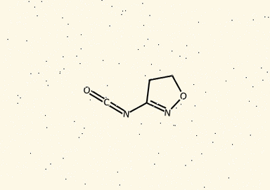 O=C=NC1=NOCC1